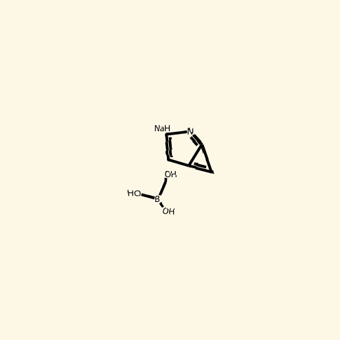 OB(O)O.[NaH].c1cc2cc-2n1